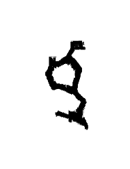 CCc1cc(CN(C)C)ccn1